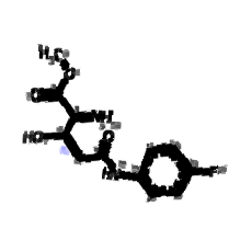 COC(=O)C(=N)/C(O)=C\C(=O)Nc1ccc(F)cc1